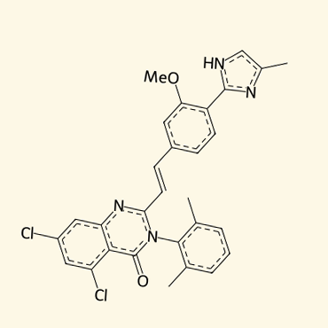 COc1cc(C=Cc2nc3cc(Cl)cc(Cl)c3c(=O)n2-c2c(C)cccc2C)ccc1-c1nc(C)c[nH]1